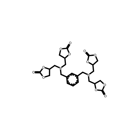 O=C1OCC(CN(Cc2cccc(CN(CC3COC(=O)O3)CC3COC(=O)O3)c2)CC2COC(=O)O2)O1